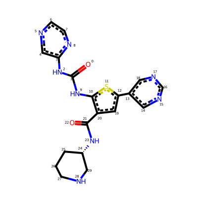 O=C(Nc1cnccn1)Nc1sc(-c2cncnc2)cc1C(=O)N[C@H]1CCCNC1